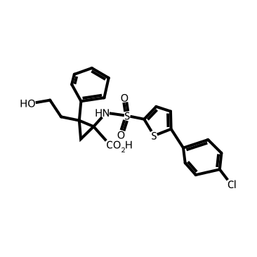 O=C(O)C1(NS(=O)(=O)c2ccc(-c3ccc(Cl)cc3)s2)CC1(CCO)c1ccccc1